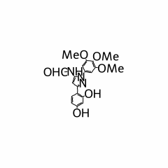 COc1cc(-n2nc(-c3ccc(O)cc3O)cc2NC=O)cc(OC)c1OC